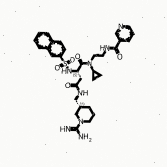 N=C(N)N1CCC[C@@H](CNC(=O)C[C@H](NS(=O)(=O)c2ccc3ccccc3c2)C(=O)N(CCNC(=O)c2cccnc2)C2CC2)C1